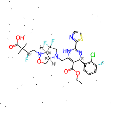 CCOC(=O)C1=C(CN2CC(F)(F)[C@H]3[C@@H]2CON3C[C@@H](F)C(C)(C)C(=O)O)NC(c2nccs2)=N[C@H]1c1cccc(F)c1Cl